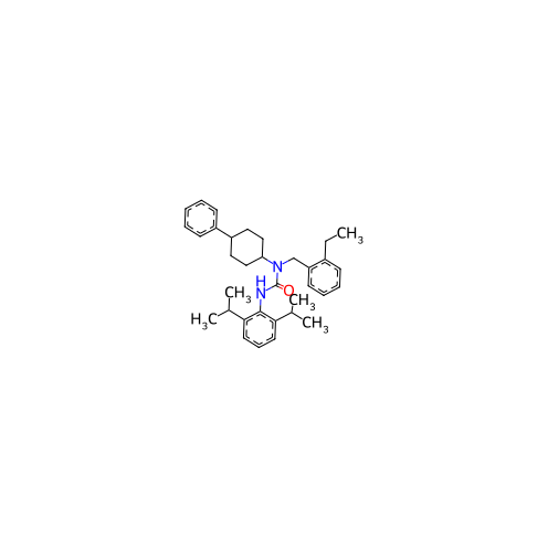 CCc1ccccc1CN(C(=O)Nc1c(C(C)C)cccc1C(C)C)C1CCC(c2ccccc2)CC1